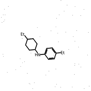 CCc1ccc(NC2CCC(CC)CC2)cc1